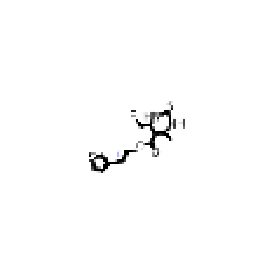 CC1=C(C(=O)OC/C=C/c2ccsc2)C(CF)NC(=S)N1